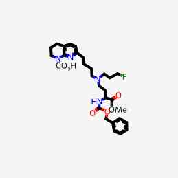 COC(=O)C(CCN(CCCF)CCCCc1ccc2c(n1)N(C(=O)O)CCC2)NC(=O)OCc1ccccc1